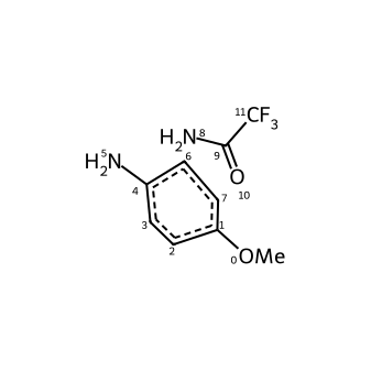 COc1ccc(N)cc1.NC(=O)C(F)(F)F